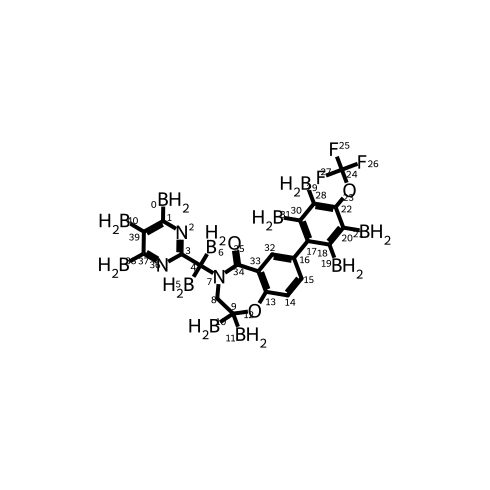 Bc1nc(C(B)(B)N2CC(B)(B)Oc3ccc(-c4c(B)c(B)c(OC(F)(F)F)c(B)c4B)cc3C2=O)nc(B)c1B